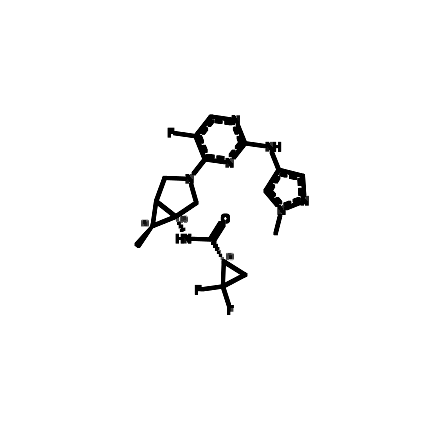 C[C@H]1C2CN(c3nc(Nc4cnn(C)c4)ncc3F)C[C@]21NC(=O)[C@@H]1CC1(F)F